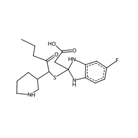 CCCC(=O)C(SC1(CC(=O)O)Nc2ccc(F)cc2N1)C1CCCNC1